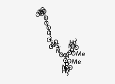 C/C=C1\C[C@H]2C=Nc3cc(OCc4cc(OCCN(C)CC(C)(C)SC5CC(=O)N(CCC(=O)CCCOCCOCCOCCOCCC(=O)ON6C(=O)CCC6=O)C5=O)cc(COc5cc6c(cc5OC)C(=O)N5C/C(=C/C)C[C@H]5C=N6)n4)c(OC)cc3C(=O)N2C1